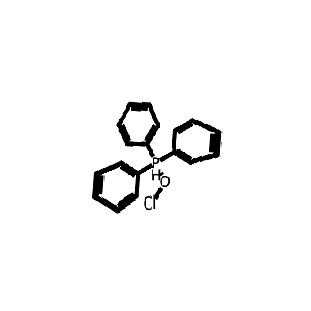 ClO[PH](c1ccccc1)(c1ccccc1)c1ccccc1